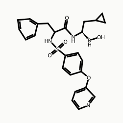 O=C(N[C@H](BO)CC1CC1)C(Cc1ccccc1)NS(=O)(=O)c1ccc(Oc2cccnc2)cc1